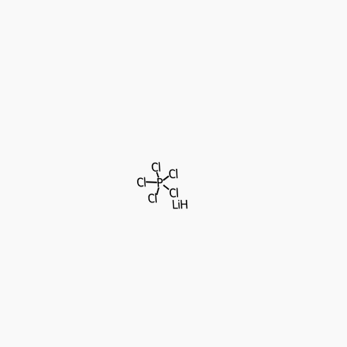 ClP(Cl)(Cl)(Cl)Cl.[LiH]